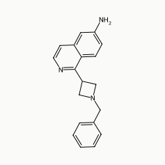 Nc1ccc2c(C3CN(Cc4ccccc4)C3)nccc2c1